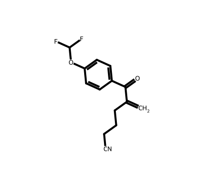 C=C(CCCC#N)C(=O)c1ccc(OC(F)F)cc1